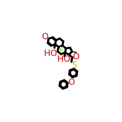 C[C@@H]1CC2C3CCC4=CC(=O)C=CC4(C)[C@@]3(F)[C@@H](O)CC2(C)[C@@]1(O)C(=O)CSc1ccc(Oc2ccccc2)cc1